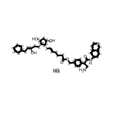 Cl.Cl.NCC(C(=O)Nc1ccc2cnccc2c1)c1ccc(COC(=O)CCCC=CC[C@@H]2[C@@H](CC[C@@H](O)CCc3ccccc3)[C@H](O)C[C@H]2O)cc1